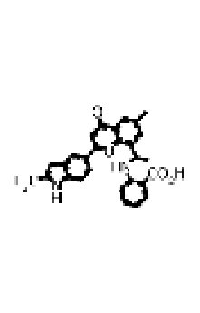 Cc1cc(C(C)Nc2ccccc2C(=O)O)c2oc(-c3ccc4[nH]c(C(F)(F)F)cc4c3)cc(=O)c2c1